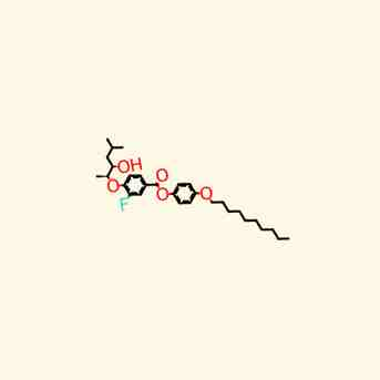 CCCCCCCCCCOc1ccc(OC(=O)c2ccc(O[C@@H](C)[C@H](O)CC(C)C)c(F)c2)cc1